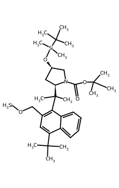 CC(C)(C)OC(=O)N1C[C@H](O[Si](C)(C)C(C)(C)C)C[C@@H]1C(C)(C)c1c(CO[SiH3])cc(C(C)(C)C)c2ccccc12